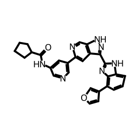 O=C(Nc1cncc(-c2cc3c(-c4nc5c(-c6ccoc6)cccc5[nH]4)n[nH]c3cn2)c1)C1CCCC1